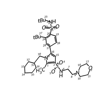 Cc1c(S(=O)(=O)NCCN2CCOCC2)cc(-c2ccc(S(=O)(=O)NC(C)(C)C)c(C(C)(C)C)c2)n1CC1CCCCC1